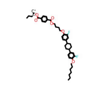 [CH2+][C-](CCC)OC(=O)c1ccc(C(=O)OCCCCOc2ccc(C3CCC(c4ccc(OCCCCCCC)c(F)c4)CC3)cc2F)cc1